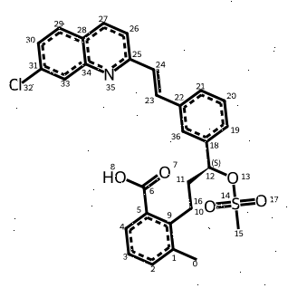 Cc1cccc(C(=O)O)c1CC[C@H](OS(C)(=O)=O)c1cccc(C=Cc2ccc3ccc(Cl)cc3n2)c1